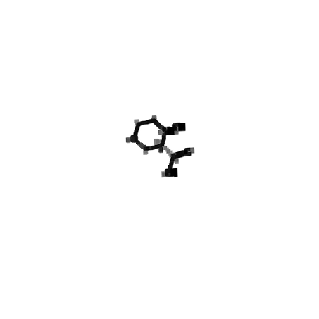 Cl.O=C(O)[C@@H]1COCCN1